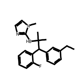 CCc1cccc(C(c2ccccc2F)C(C)(C)Bc2nccn2C)c1